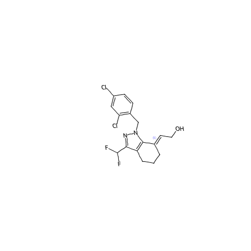 OC/C=C1\CCCc2c(C(F)F)nn(Cc3ccc(Cl)cc3Cl)c21